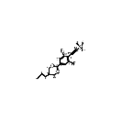 CCCC1COC(c2cc(F)c(C#C[Si](C)(C)C)c(F)c2)OC1